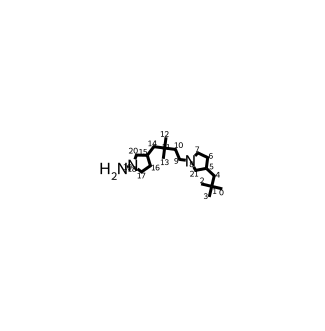 CC(C)(C)CC1CCN(CCC(C)(C)CC2CCN(N)C2)C1